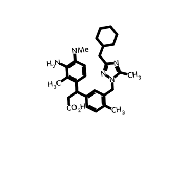 CNc1ccc(C(CC(=O)O)c2ccc(C)c(Cn3nc(CC4CCCCC4)nc3C)c2)c(C)c1N